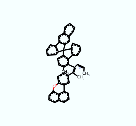 C/C=C\C(=C(/C)c1ccc2c(c1)-c1cccc3cccc(c13)O2)c1c(C)ccc2c1-c1ccccc1C21c2ccccc2-c2cc3ccccc3cc21